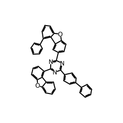 c1ccc(-c2ccc(-c3nc(-c4ccc5oc6cccc(-c7ccccc7)c6c5c4)nc(-c4cccc5oc6ccccc6c45)n3)cc2)cc1